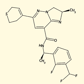 C[C@@H]1CN2N=C(C3=CCSCC3)C=C(C(=O)N[C@H](C)c3cccc(C(F)F)c3F)C2=N1